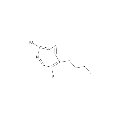 CCCCC1=C(F)/C=N\C(O)=C\C=C\1